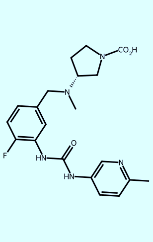 Cc1ccc(NC(=O)Nc2cc(CN(C)[C@@H]3CCN(C(=O)O)C3)ccc2F)cn1